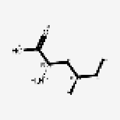 CC[C@@H](C)C[C@H](N)C(=O)O